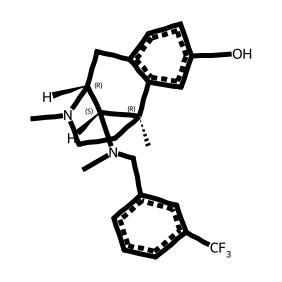 CN1CC[C@]2(C)c3cc(O)ccc3C[C@@H]1[C@H]2N(C)Cc1cccc(C(F)(F)F)c1